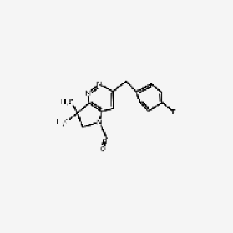 CC1(C)CN(C=O)c2cc(Cc3ccc(F)cc3)nnc21